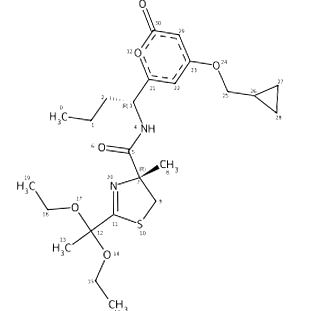 CCC[C@@H](NC(=O)[C@]1(C)CSC(C(C)(OCC)OCC)=N1)c1cc(OCC2CC2)cc(=O)o1